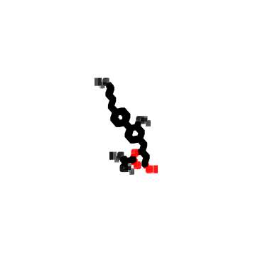 C=C(C)C(=O)OC(CCO)CC1=CC=C(c2ccc(CC/C=C/C)cc2)C(C)C1